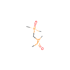 CP(C)(=O)CP(C)(C)=O